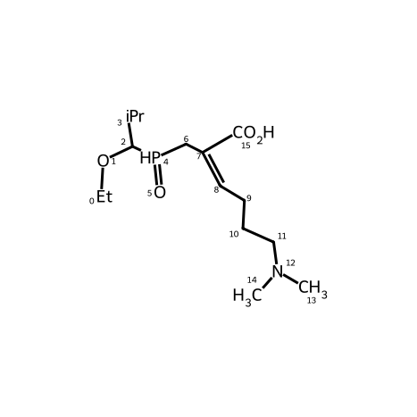 CCOC(C(C)C)[PH](=O)CC(=CCCCN(C)C)C(=O)O